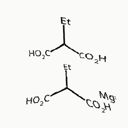 CCC(C(=O)O)C(=O)O.CCC(C(=O)O)C(=O)O.[Mg]